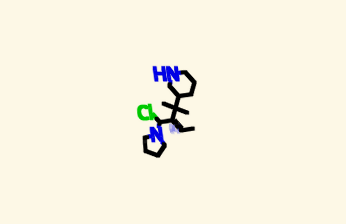 C/C=C(/C(Cl)N1CCCC1)C(C)(C)C1CCCNC1